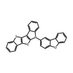 c1ccc2c(c1)oc1ccc(-n3c4ccccc4c4c5sc6ccccc6c5sc43)cc12